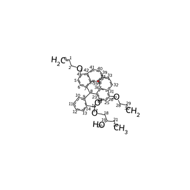 C=CCOc1ccc(C(c2ccccc2C(=O)OCC(O)CC)c2ccc(OCC=C)c3ccccc23)c2ccccc12